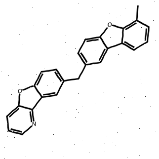 Cc1cccc2c1oc1ccc(Cc3ccc4oc5cccnc5c4c3)cc12